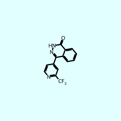 O=c1[nH]nc(-c2ccnc(C(F)(F)F)c2)c2ccccc12